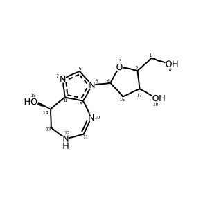 OCC1OC(n2cnc3c2N=CNC[C@H]3O)CC1O